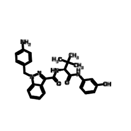 CC(C)(C)[C@H](NC(=O)c1nn(Cc2ccc(N)cc2)c2ccccc12)C(=O)Nc1cccc(O)c1